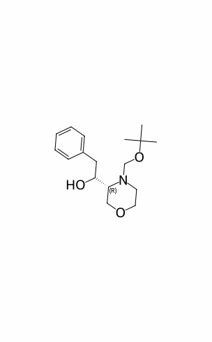 CC(C)(C)OCN1CCOC[C@@H]1C(O)Cc1ccccc1